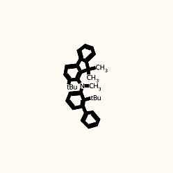 CN(c1cccc(-c2ccccc2)c1C(C)(C)C)c1c(C(C)(C)C)ccc2c1C(C)(C)c1ccccc1-2